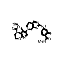 CNC(=O)c1ccc(Nc2ncc3c(n2)CN(c2cnc4c(c2C)N(C(=O)OC(C)(C)C)CCO4)CC3)cc1F